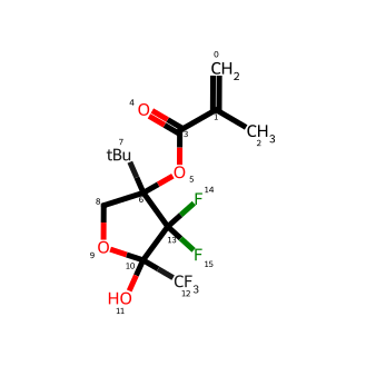 C=C(C)C(=O)OC1(C(C)(C)C)COC(O)(C(F)(F)F)C1(F)F